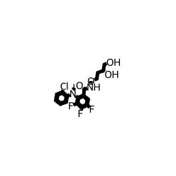 O=C(NOCCC(O)CO)c1cc(F)c(F)c(F)c1N(I)c1ccccc1Cl